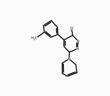 Cc1cccc(C2=CC(N3C=CC=CC3)N=NC2Cl)c1